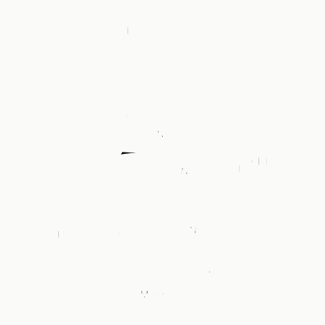 COCC1CN(CCN2CCN(C(=O)c3cc(C(F)(F)F)cc(C(F)(F)F)c3)[C@H](Cc3ccc(C)c(C)c3)C2)CCO1.Cl.Cl